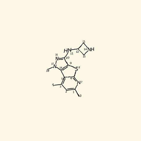 Cc1cc(C)c2c(n1)sc1c(NC3CNC3)nn(C)c12